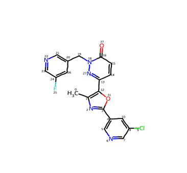 Cc1nc(-c2cncc(Cl)c2)oc1-c1ccc(=O)n(Cc2cncc(F)c2)n1